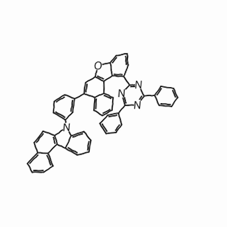 c1ccc(-c2nc(-c3ccccc3)nc(-c3cccc4oc5cc(-c6cccc(-n7c8ccccc8c8c9ccccc9ccc87)c6)c6ccccc6c5c34)n2)cc1